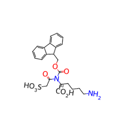 NCCCC[C@@H](C(=O)O)N(C(=O)CS(=O)(=O)O)C(=O)OCC1c2ccccc2-c2ccccc21